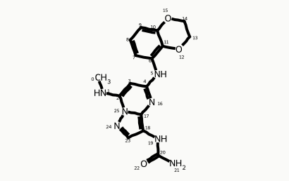 CNc1cc(Nc2cccc3c2OCCO3)nc2c(NC(N)=O)cnn12